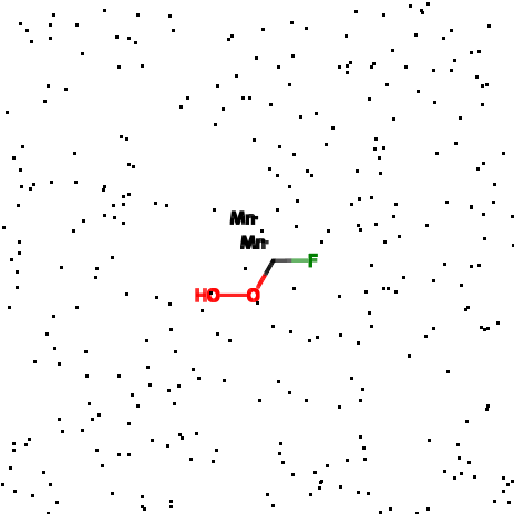 OOCF.[Mn].[Mn]